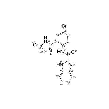 O=C(Nc1ccc(Br)cc1-c1noc(=O)[nH]1)c1cc2ccccc2[nH]1